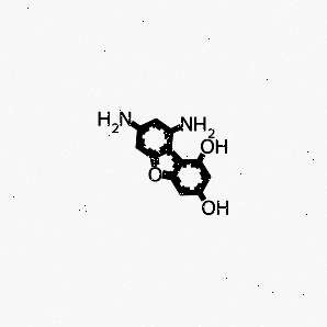 Nc1cc(N)c2c(c1)oc1cc(O)cc(O)c12